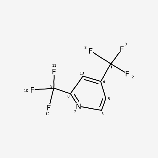 FC(F)(F)c1ccnc(C(F)(F)F)c1